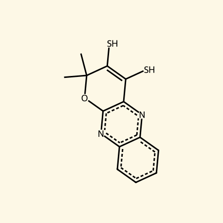 CC1(C)Oc2nc3ccccc3nc2C(S)=C1S